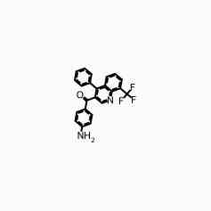 Nc1ccc(C(=O)c2cnc3c(C(F)(F)F)cccc3c2-c2ccccc2)cc1